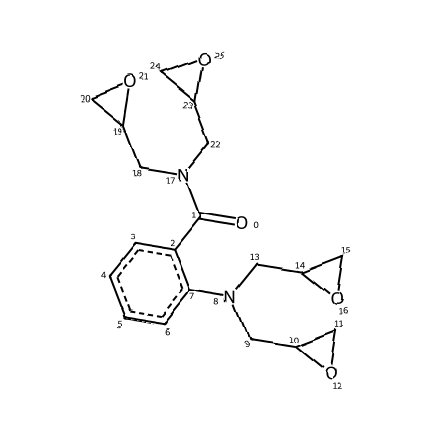 O=C(c1ccccc1N(CC1CO1)CC1CO1)N(CC1CO1)CC1CO1